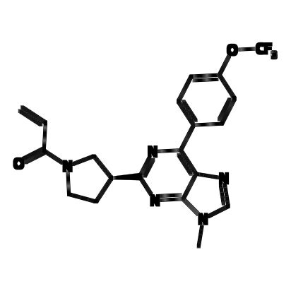 C=CC(=O)N1CC[C@H](c2nc(-c3ccc(OC(F)(F)F)cc3)c3ncn(C)c3n2)C1